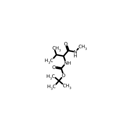 CNC(=O)C(NC(=O)OC(C)(C)C)C(C)C